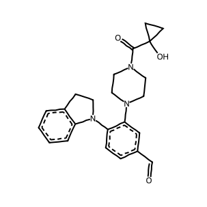 O=Cc1ccc(N2CCc3ccccc32)c(N2CCN(C(=O)C3(O)CC3)CC2)c1